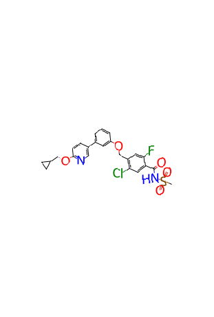 CS(=O)(=O)NC(=O)c1cc(Cl)c(COc2cccc(-c3ccc(OCC4CC4)nc3)c2)cc1F